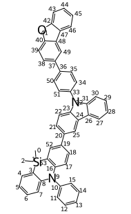 C[Si]1(C)c2ccccc2N(c2ccccc2)c2ccc(-c3ccc4c(c3)c3ccccc3n4-c3ccc(-c4ccc5oc6ccccc6c5c4)cc3)cc21